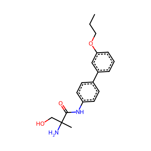 CCCOc1cccc(-c2ccc(NC(=O)C(C)(N)CO)cc2)c1